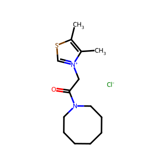 Cc1sc[n+](CC(=O)N2CCCCCCC2)c1C.[Cl-]